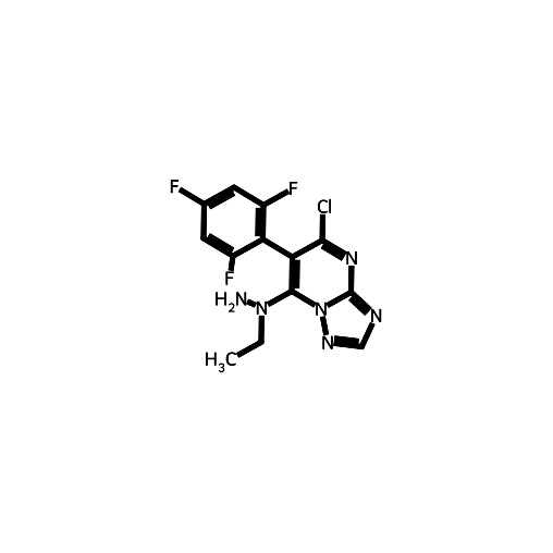 CCN(N)c1c(-c2c(F)cc(F)cc2F)c(Cl)nc2ncnn12